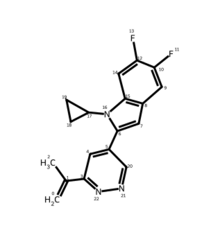 C=C(C)c1cc(-c2cc3cc(F)c(F)cc3n2C2CC2)cnn1